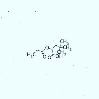 CCC(=O)OC(CC(C)(C)C)C(=O)O